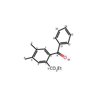 CCOC(=O)c1cc(C)c(C)cc1C(=O)c1ccccc1